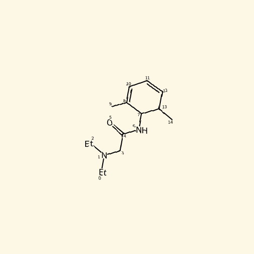 CCN(CC)CC(=O)NC1C(C)=CC=CC1C